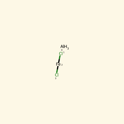 [AlH3].[Cl][Fe][Cl]